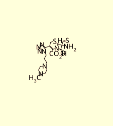 CN1CCN(CCCn2nnnc2C2=C(C(=O)O)N3C(=O)C(N)(C=S)[C@@H]3SC2)CC1